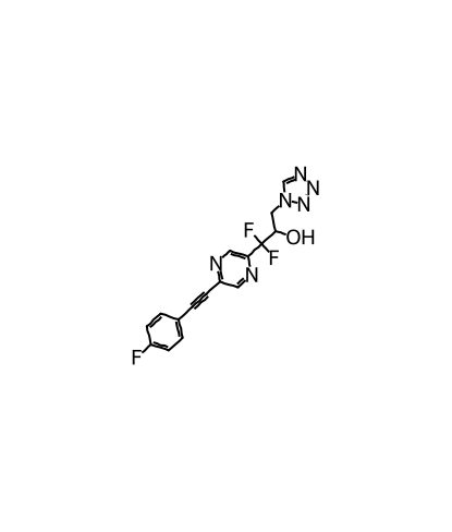 OC(Cn1cnnn1)C(F)(F)c1cnc(C#Cc2ccc(F)cc2)cn1